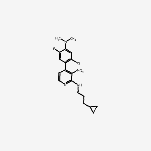 CN(C)c1cc(Cl)c(-c2ccnc(NCCCC3CC3)c2[N+](=O)[O-])cc1F